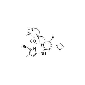 Cc1cc(Nc2cc(N3CCC3)c(F)c(C[C@@]3(C(=O)O)CCN[C@H](C)C3)n2)nn1C(C)(C)C